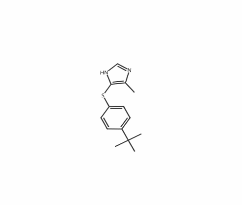 Cc1nc[nH]c1Sc1ccc(C(C)(C)C)cc1